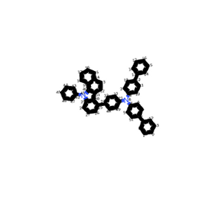 c1ccc(-c2ccc(N(c3ccc(-c4ccccc4)cc3)c3ccc(-c4cccc5c4c4ccc6ccccc6c4n5-c4ccccc4)cc3)cc2)cc1